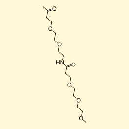 COCCOCCOCCC(=O)NCCOCCOCCC(C)=O